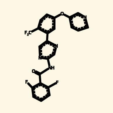 O=C(Nc1cnc(-c2cc(Oc3cccnc3)ccc2C(F)(F)F)cn1)c1c(F)cccc1F